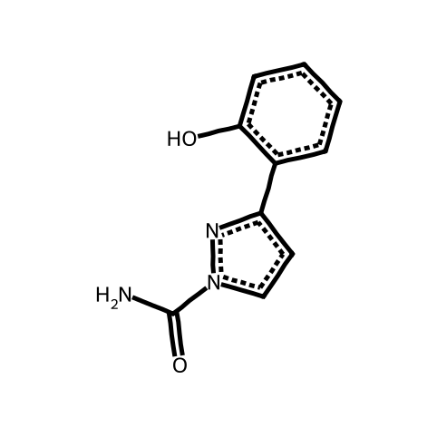 NC(=O)n1ccc(-c2ccccc2O)n1